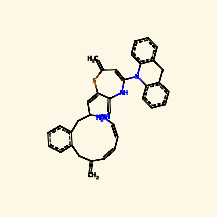 C=C1/C=C\C=C/NC(/C=C2/SC(=C)C=C(N3c4ccccc4Cc4ccccc43)N/C2=C/N)Cc2ccccc2C1